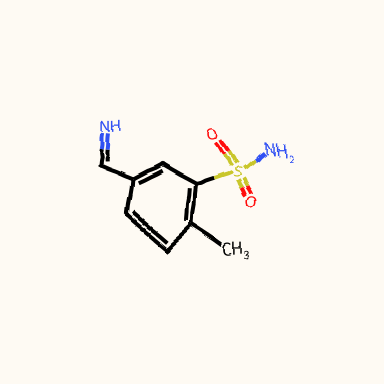 Cc1ccc(C=N)cc1S(N)(=O)=O